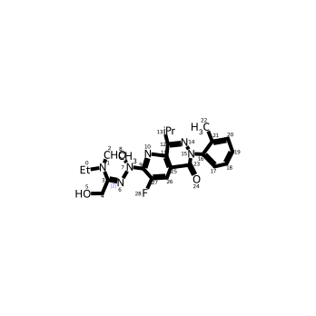 CCN(C=O)/C(CO)=N\N(C)c1nc2c(C(C)C)nn(-c3ccccc3C)c(=O)c2cc1F